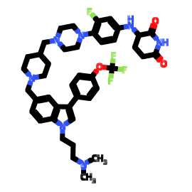 CN(C)CCCn1cc(-c2ccc(OC(F)(F)F)cc2)c2cc(CN3CCC(CN4CCN(c5ccc(NC6CCC(=O)NC6=O)cc5F)CC4)CC3)ccc21